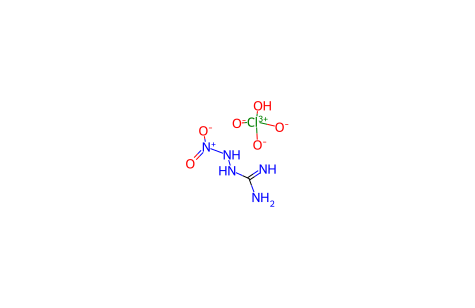 N=C(N)NN[N+](=O)[O-].[O-][Cl+3]([O-])([O-])O